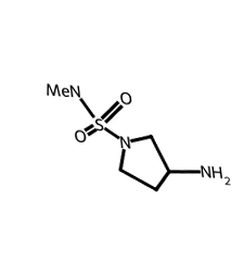 CNS(=O)(=O)N1CCC(N)C1